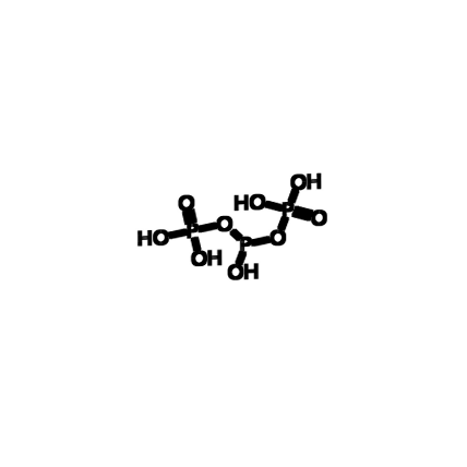 O=P(O)(O)OP(O)OP(=O)(O)O